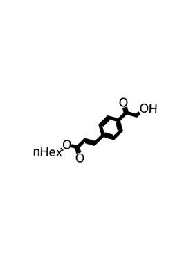 CCCCCCOC(=O)/C=C/c1ccc(C(=O)CO)cc1